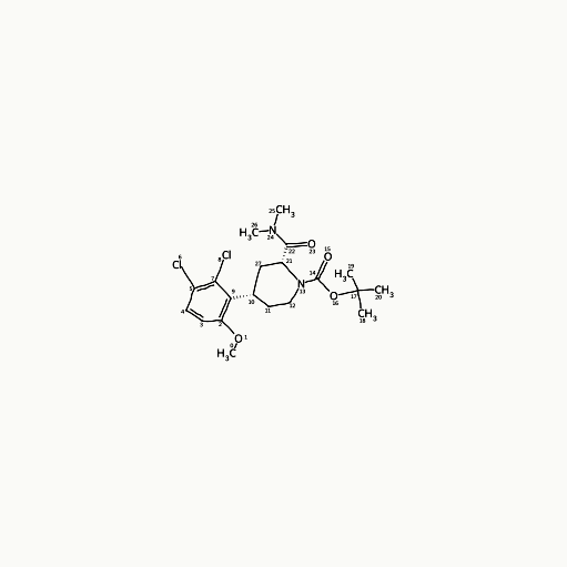 COc1ccc(Cl)c(Cl)c1[C@H]1CCN(C(=O)OC(C)(C)C)[C@@H](C(=O)N(C)C)C1